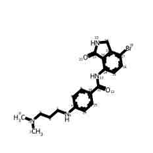 CN(C)CCCNc1ccc(C(=O)Nc2ccc(Br)c3c2C(=O)NC3)cc1